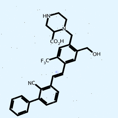 N#Cc1c(/C=C/c2cc(CO)c(CN3CCNCC3C(=O)O)cc2C(F)(F)F)cccc1-c1ccccc1